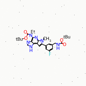 CCN(C(=O)OC(C)(C)C)c1nc2c(cc(-c3cc(F)cc(CNC(=O)OC(C)(C)C)c3)n2C)c2[nH]cnc12